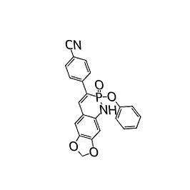 N#Cc1ccc(C2=Cc3cc4c(cc3NP2(=O)Oc2ccccc2)OCO4)cc1